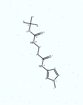 Cn1ccc(NC(=O)CCNC(=O)OC(C)(C)C)c1